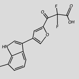 O=C(O)C(F)(F)C(=O)c1cc(-c2c[nH]c3c(F)cccc23)co1